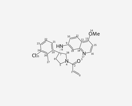 C=CC(=O)N1CC[C@@](Nc2ccc3c(OC)ccnc3c2)(c2cccc(Cl)c2C)C1